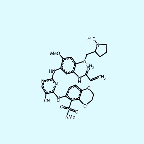 C=CC(=O)Nc1cc(Nc2ncc(C#N)c(Nc3ccc4c(c3S(=O)(=O)NC)OCCO4)n2)c(OC)cc1N(C)CC1CCCN1C